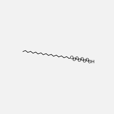 CCCCCCCCCCCCCCCCCCCOOOOOOOO